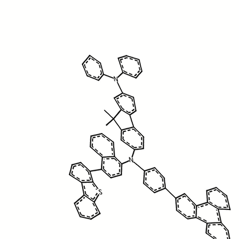 CC1(C)c2cc(N(c3ccccc3)c3ccccc3)ccc2-c2ccc(N(c3ccc(-c4ccc5c6ccccc6c6ccccc6c5c4)cc3)c3ccc(-c4cccc5c4sc4ccccc45)c4ccccc34)cc21